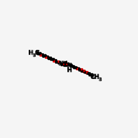 CCCCCCCCCCCCCCCCCCNCc1ccc(CNCCCCCCCCCCCCCCCCCC)cc1